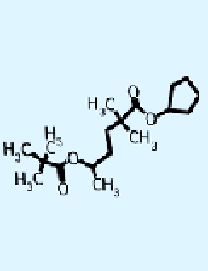 CC(CCC(C)(C)C(=O)OC1CCCC1)OC(=O)C(C)(C)C